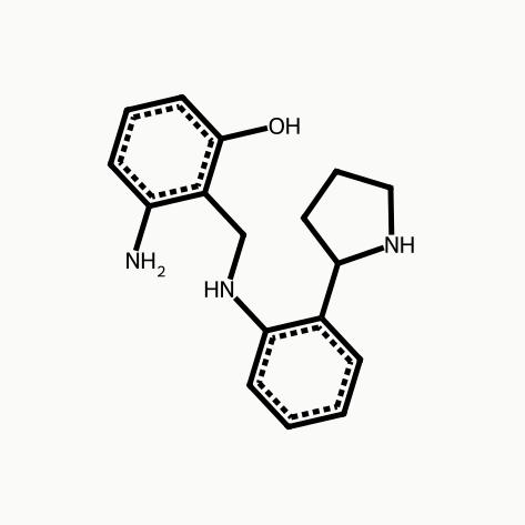 Nc1cccc(O)c1CNc1ccccc1C1CCCN1